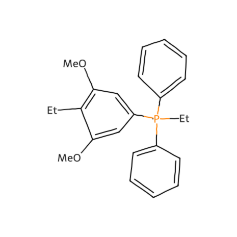 CCc1c(OC)cc([P](CC)(c2ccccc2)c2ccccc2)cc1OC